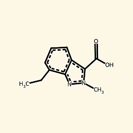 CCc1cccc2c(C(=O)O)n(C)nc12